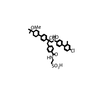 COC(C)(C)C1CC=C(c2ccc([C@@](C=O)(CNc3ccc(-c4ccc(Cl)cc4C)cc3)Cc3ccc(C(=O)NCCS(=O)(=O)O)cc3)cc2)CC1